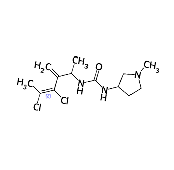 C=C(/C(Cl)=C(\C)Cl)C(C)NC(=O)NC1CCN(C)C1